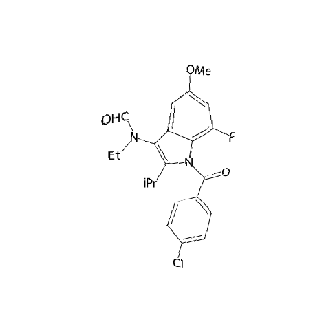 CCN(C=O)c1c(C(C)C)n(C(=O)c2ccc(Cl)cc2)c2c(F)cc(OC)cc12